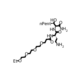 CCCCC[C@@H](O)[C@H](NC(=O)[C@H](CCN)NC(=O)CCOCCOCCOCCOCC)C(N)=O